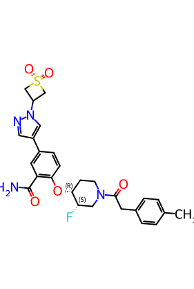 Cc1ccc(CC(=O)N2CC[C@@H](Oc3ccc(-c4cnn(C5CS(=O)(=O)C5)c4)cc3C(N)=O)[C@@H](F)C2)cc1